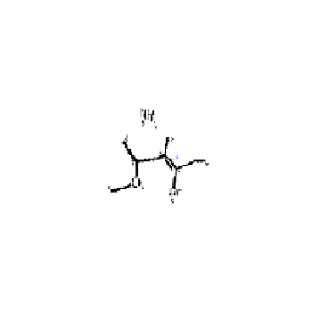 COC(C)/C(C)=C(/C)Br.N